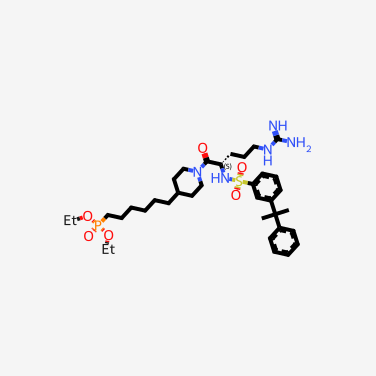 CCOP(=O)(CCCCCCC1CCN(C(=O)[C@H](CCCNC(=N)N)NS(=O)(=O)c2cccc(C(C)(C)c3ccccc3)c2)CC1)OCC